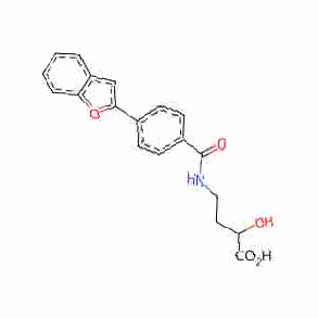 O=C(NCCC(O)C(=O)O)c1ccc(-c2cc3ccccc3o2)cc1